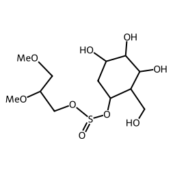 COCC(COS(=O)OC1CC(O)C(O)C(O)C1CO)OC